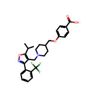 CC(C)c1onc(-c2ccccc2C(F)(F)F)c1CN1CCC(COc2ccc(C(=O)O)cc2)CC1